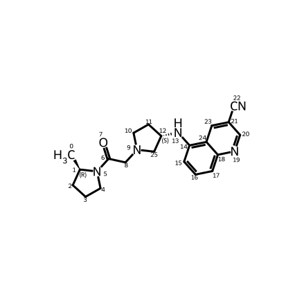 C[C@@H]1CCCN1C(=O)CN1CC[C@H](Nc2cccc3ncc(C#N)cc23)C1